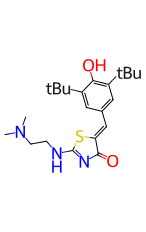 CN(C)CCNC1=NC(=O)C(=Cc2cc(C(C)(C)C)c(O)c(C(C)(C)C)c2)S1